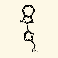 NCc1nc(-c2nc3ccccc3[nH]2)cs1